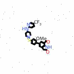 COC(=O)c1cc(-c2ccc(SN3CCC(Nc4ccc(C(F)(F)F)cn4)CC3)cc2)cc2c1NC(=O)C2